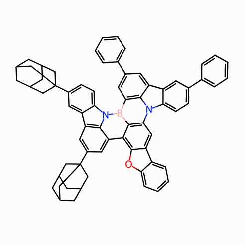 c1ccc(-c2ccc3c(c2)c2cc(-c4ccccc4)cc4c2n3-c2cc3c(oc5ccccc53)c3c2B4n2c4ccc(C56CC7CC(CC(C7)C5)C6)cc4c4cc(C56CC7CC(CC(C7)C5)C6)cc-3c42)cc1